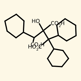 O=C(O)C(C1CCCCC1)C(O)(C(=O)O)C(C(=O)O)(C1CCCCC1)C1CCCCC1